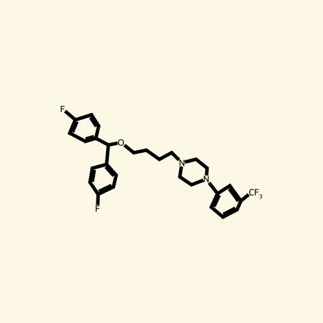 Fc1ccc(C(OCCCCN2CCN(c3cccc(C(F)(F)F)c3)CC2)c2ccc(F)cc2)cc1